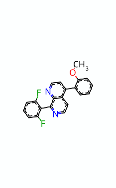 COc1ccccc1-c1ccnc2c(-c3c(F)cccc3F)nccc12